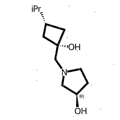 CC(C)[C@H]1C[C@](O)(CN2CC[C@@H](O)C2)C1